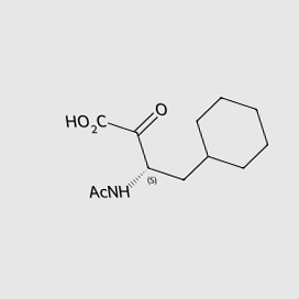 CC(=O)N[C@@H](CC1CCCCC1)C(=O)C(=O)O